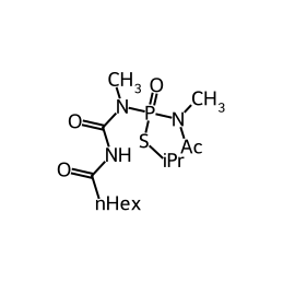 CCCCCCC(=O)NC(=O)N(C)P(=O)(SC(C)C)N(C)C(C)=O